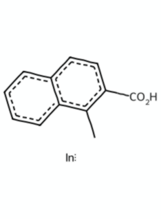 Cc1c(C(=O)O)ccc2ccccc12.[In]